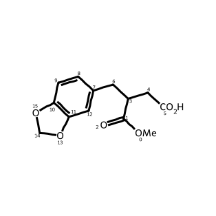 COC(=O)C(CC(=O)O)Cc1ccc2c(c1)OCO2